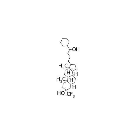 C[C@]12CC[C@@](O)(C(F)(F)F)C[C@@H]1CC[C@@H]1[C@@H]2CC[C@]2(C)[C@@H](CCCC(O)C3CCCCC3)CC[C@@H]12